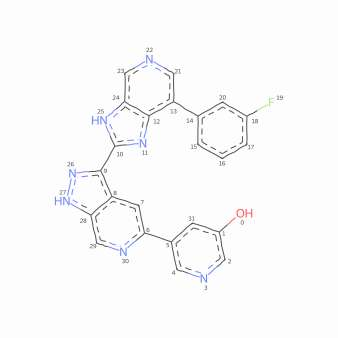 Oc1cncc(-c2cc3c(-c4nc5c(-c6cccc(F)c6)cncc5[nH]4)n[nH]c3cn2)c1